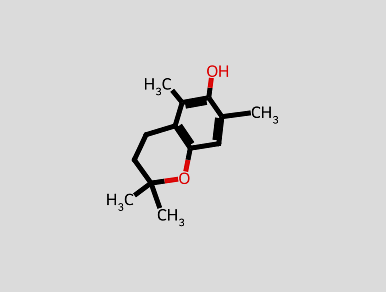 Cc1cc2c(c(C)c1O)CCC(C)(C)O2